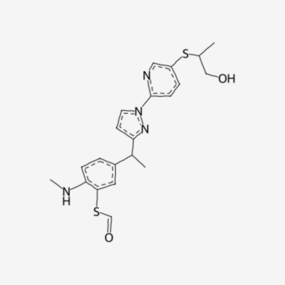 CNc1ccc(C(C)c2ccn(-c3ccc(SC(C)CO)cn3)n2)cc1SC=O